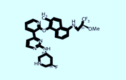 CO[C@@H](CNc1cccc2c(Oc3ncccc3-c3ccnc(N[C@H]4CNC[C@H](F)C4)n3)c(C)ccc12)C(F)(F)F